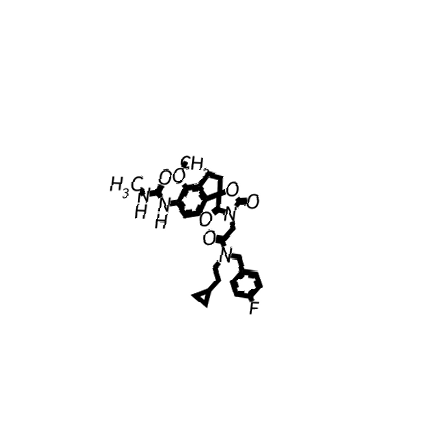 CNC(=O)Nc1ccc2c(c1OC)CCC21OC(=O)N(CC(=O)N(CCC2CC2)Cc2ccc(F)cc2)C1=O